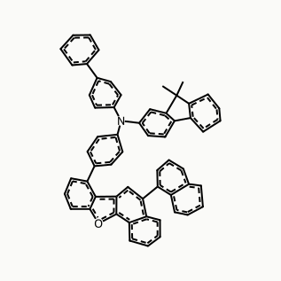 CC1(C)c2ccccc2-c2ccc(N(c3ccc(-c4ccccc4)cc3)c3ccc(-c4cccc5oc6c7ccccc7c(-c7cccc8ccccc78)cc6c45)cc3)cc21